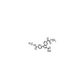 CCOC(=O)c1ccc(-n2cc(C(=O)O)c3cc(NC(=O)CC)ccc32)cc1